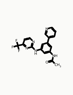 CC(=O)Nc1cc(Nc2nccc(C(F)(F)F)n2)cc(-c2cccnc2)c1